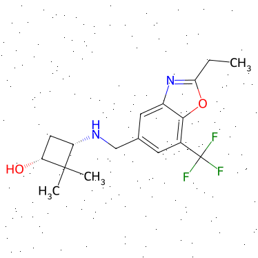 CCc1nc2cc(CN[C@H]3C[C@@H](O)C3(C)C)cc(C(F)(F)F)c2o1